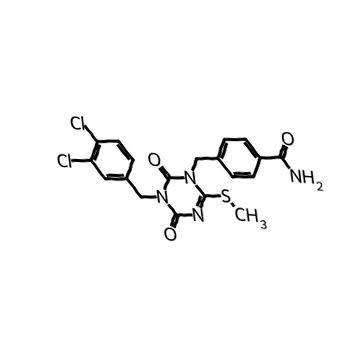 CSc1nc(=O)n(Cc2ccc(Cl)c(Cl)c2)c(=O)n1Cc1ccc(C(N)=O)cc1